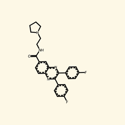 O=C(NCCN1CCCC1)c1ccc2nc(-c3ccc(F)cc3)c(-c3ccc(F)cc3)nc2c1